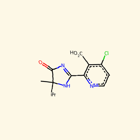 CC(C)C1(C)NC(c2nccc(Cl)c2C(=O)O)=NC1=O